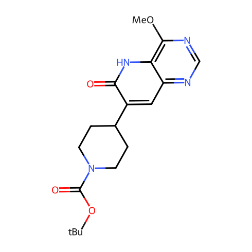 COc1ncnc2cc(C3CCN(C(=O)OC(C)(C)C)CC3)c(=O)[nH]c12